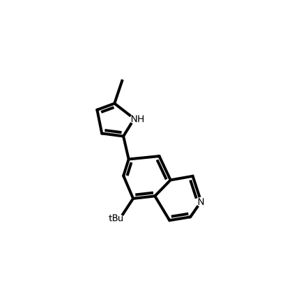 Cc1ccc(-c2cc(C(C)(C)C)c3ccncc3c2)[nH]1